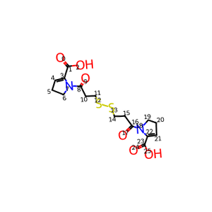 O=C(O)C1=CCCN1C(=O)CCSSCCC(=O)N1CCC=C1C(=O)O